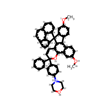 COc1ccc2c(c1)C1(c3c4c(c5cc(OC)ccc5c3-2)OC(c2ccccc2)(c2ccc(N3CCOCC3)cc2)C=C4)c2cccc3ccc4cccc1c4c23